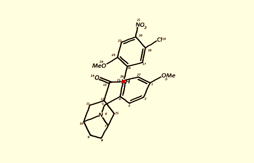 COc1ccc(CN2C3CCC2CC(C(=O)Nc2cc(Cl)c([N+](=O)[O-])cc2OC)C3)cc1